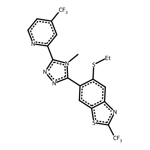 CCSc1cc2nc(C(F)(F)F)sc2cc1-c1nnc(-c2cc(C(F)(F)F)ccn2)n1C